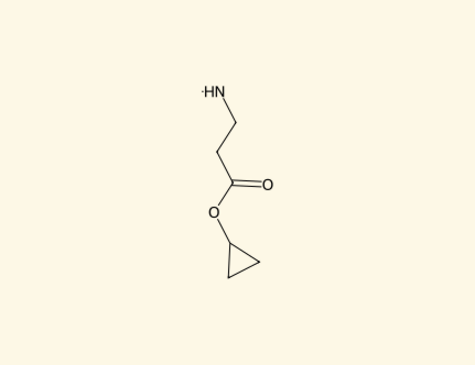 [NH]CCC(=O)OC1CC1